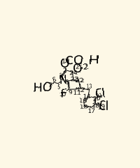 O=C(O)Oc1cn(CCO)c2c(F)cc(Cc3cccc(Cl)c3Cl)cc2c1=O